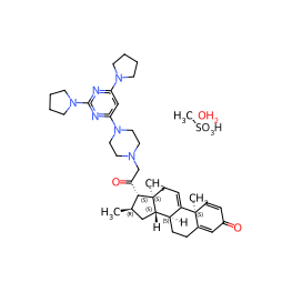 CS(=O)(=O)O.C[C@@H]1C[C@H]2[C@@H]3CCC4=CC(=O)C=C[C@]4(C)C3=CC[C@]2(C)[C@H]1C(=O)CN1CCN(c2cc(N3CCCC3)nc(N3CCCC3)n2)CC1.O